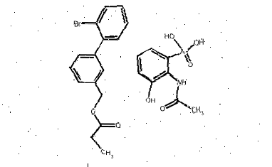 CC(=O)Nc1c(O)cccc1[As](=O)(O)O.CCC(=O)OCc1cccc(-c2ccccc2Br)c1